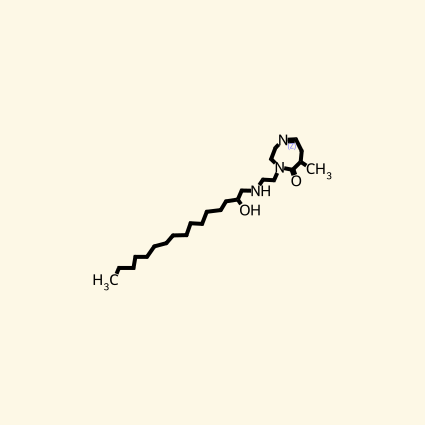 CCCCCCCCCCCCCCC(O)CNCCN1CC/N=C\CC(C)C1=O